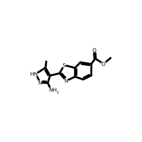 COC(=O)c1ccc2nc(-c3c(N)n[nH]c3C)sc2c1